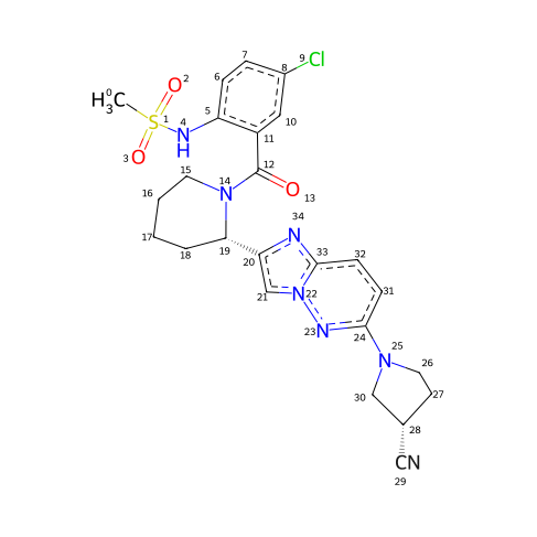 CS(=O)(=O)Nc1ccc(Cl)cc1C(=O)N1CCCC[C@H]1c1cn2nc(N3CC[C@H](C#N)C3)ccc2n1